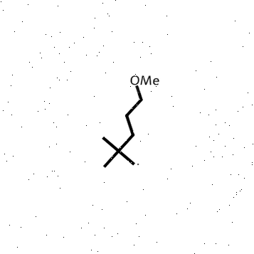 [CH2]C(C)(C)CCCOC